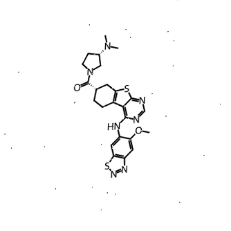 COc1cc2nnsc2cc1Nc1ncnc2sc3c(c12)CC[C@H](C(=O)N1CC[C@H](N(C)C)C1)C3